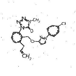 C=CCc1cccc(-n2nnn(C)c2=O)c1COc1ccn(-c2ccc(Cl)cc2)n1